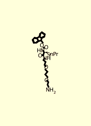 [CH2][CH]CSC[C@H](NC(=O)OCC1c2ccccc2-c2ccccc21)C(=O)NCCCOCCCCOCCCN